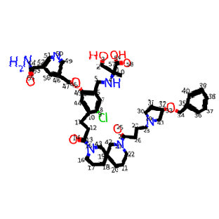 CC(CO)(NCc1cc(Cl)c(CCC(=O)N2CCCC3(CCCN(C(=O)CCCN4CCC(OCc5ccccc5)C4)C3)C2)cc1OCc1cncc(C(N)=O)c1)C(=O)O